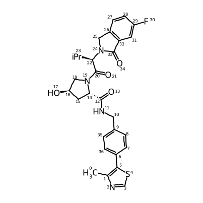 Cc1ncsc1-c1ccc(CNC(=O)[C@@H]2C[C@@H](O)CN2C(=O)[C@@H](C(C)C)N2Cc3ccc(F)cc3C2=O)cc1